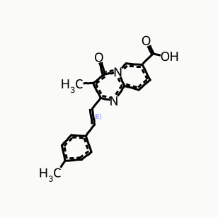 Cc1ccc(/C=C/c2nc3ccc(C(=O)O)cn3c(=O)c2C)cc1